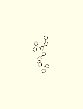 C1=C(n2c3ccccc3c3ccccc32)CCc2oc3ccc(-c4cccc(-c5cc(-c6ccc7oc8ccccc8c7c6)cc(-n6c7ccccc7c7ccccc76)c5)c4)cc3c21